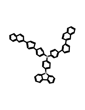 c1cc(-c2ccc(N(c3ccc(-c4ccc(-c5ccc6ccccc6c5)cc4)cc3)c3ccc(-n4c5ccccc5c5ccccc54)cc3)cc2)cc(-c2ccc3ccccc3c2)c1